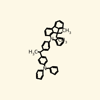 CCC1(CC)c2ccccc2-c2cccc(N(c3ccccc3)c3ccc(C(C)c4ccc(N(c5ccccc5)c5ccccc5)cc4)cc3)c21